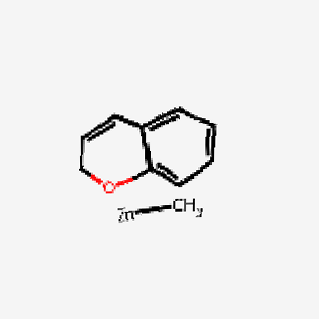 C1=Cc2ccccc2OC1.[CH3][Zn]